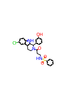 O=C(CCNS(=O)(=O)c1ccccc1)N1CCc2c([nH]c3ccc(Cl)cc23)C1c1cccc(O)c1